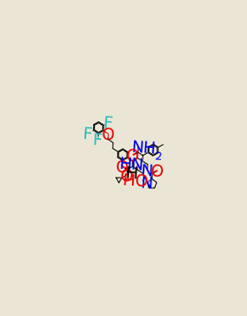 Cc1ccc(C(C(N)=O)[C@@]23CC(c4ccc(CCCOc5c(F)ccc(F)c5F)cc4)=C(C(=O)OC4CC4)[C@H](CN(C(=O)C4CCCN4O)C2)N3)cc1